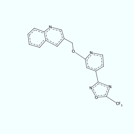 FC(F)(F)c1nc(-c2ccnc(OCc3cnc4ccccc4c3)c2)no1